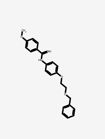 COc1ccc(C(=N)Nc2ccc(OCCOCc3ccccc3)cc2)cc1